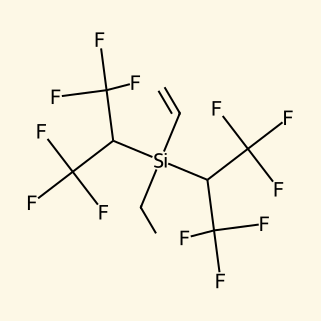 C=C[Si](CC)(C(C(F)(F)F)C(F)(F)F)C(C(F)(F)F)C(F)(F)F